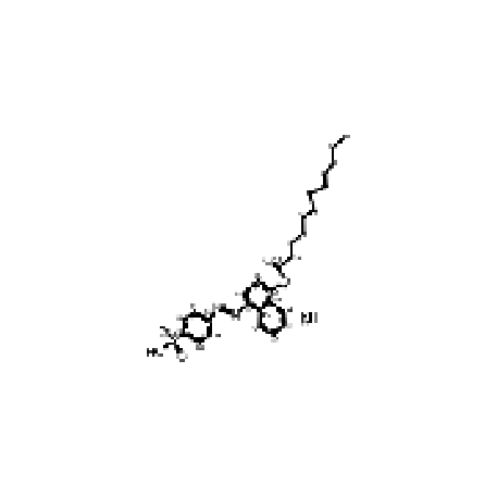 CCCCCCCCCCCC(=O)Oc1ccc(N=Nc2ccc(S(=O)(=O)O)cc2)c2ccccc12.[KH]